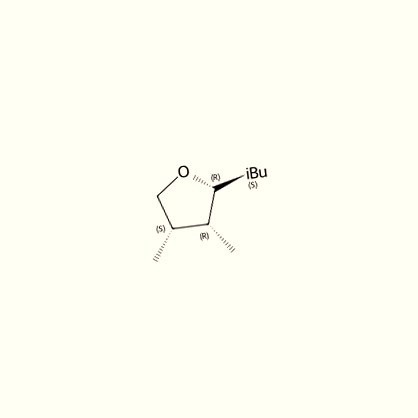 CC[C@H](C)[C@H]1OC[C@@H](C)[C@H]1C